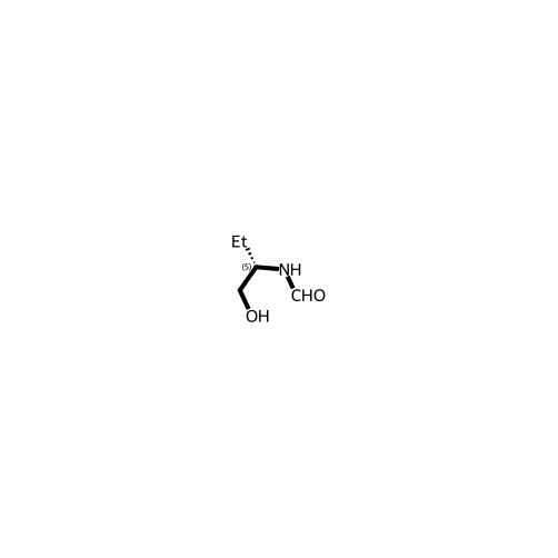 CC[C@@H](CO)NC=O